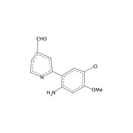 COc1cc(N)c(-c2cc(C=O)ccn2)cc1Cl